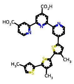 Cc1csc(-c2sc(-c3sc(-c4ccnc(-c5cc(C(=O)O)cc(-c6cc(C(=O)O)ccn6)n5)c4)cc3C)cc2C)c1